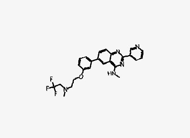 CNc1nc(-c2cccnc2)nc2ccc(-c3cccc(OCCN(C)CC(F)(F)F)c3)cc12